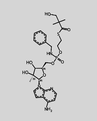 CC(C)(CO)C(=O)SCCOP(=O)(NCc1ccccc1)OC[C@H]1O[C@@H](n2ccc3c(N)ccnc32)[C@@](C)(O)C1O